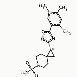 Cc1cc(C)c(-c2nc([C@@H]3CC34CCN(S(N)(=O)=O)CC4)no2)cc1C